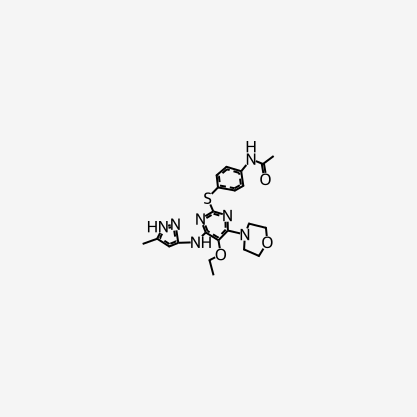 CCOc1c(Nc2cc(C)[nH]n2)nc(Sc2ccc(NC(C)=O)cc2)nc1N1CCOCC1